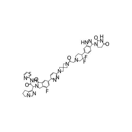 O=C1CCN(c2n[nH]c3cc(C4CCN(CC(=O)N5CC6(C5)CN(c5ccc(-c7cc(F)c8c(c7)C(=O)N(C(C(=O)Nc7nccs7)c7ncn9c7CCC9)C8)nn5)C6)CC4(F)F)ccc23)C(=O)N1